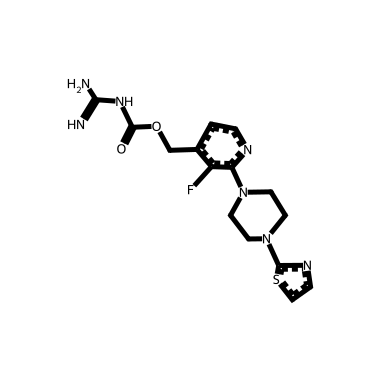 N=C(N)NC(=O)OCc1ccnc(N2CCN(c3nccs3)CC2)c1F